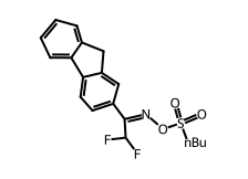 CCCCS(=O)(=O)ON=C(c1ccc2c(c1)Cc1ccccc1-2)C(F)F